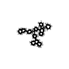 c1ccc(-n2c3ccccc3c3c(-c4cccc(N(c5ccc(-c6ccc7ccccc7c6)cc5)c5ccc(-c6cc7ccccc7c7ccccc67)cc5)c4)c4ccccc4cc32)cc1